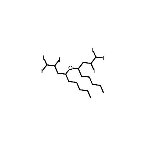 CCCCCC(CC(I)C(I)I)OC(CCCCC)CC(I)C(I)I